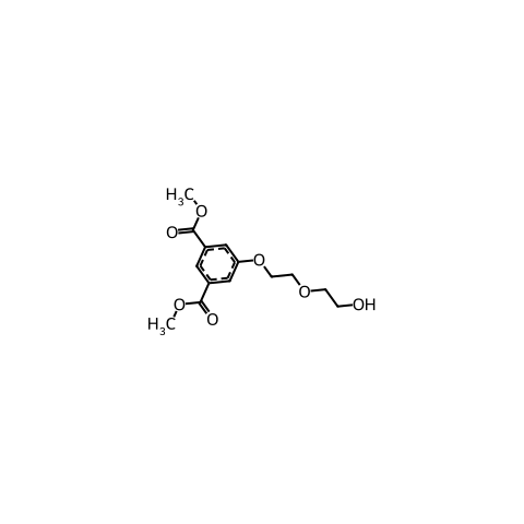 COC(=O)c1cc(OCCOCCO)cc(C(=O)OC)c1